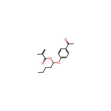 C=C(C)C(=O)OC(CCCC)Oc1ccc(C(C)=O)cc1